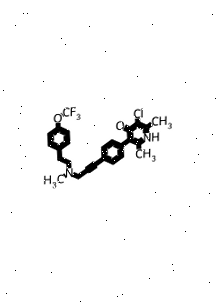 Cc1[nH]c(C)c(-c2ccc(C#CCN(C)CCc3ccc(OC(F)(F)F)cc3)cc2)c(=O)c1Cl